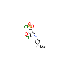 COc1ccc(CN2C=C3C=C(S(=O)(=O)Cl)CC(=O)C3=C(Cl)C2)cc1